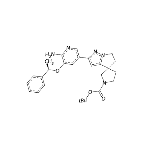 C[C@@H](Oc1cc(-c2cc3n(n2)CC[C@@]32CCN(C(=O)OC(C)(C)C)C2)cnc1N)c1ccccc1